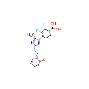 Cc1nn(CCn2ccccc2=O)cc1-c1ccc(B(O)O)c(F)c1F